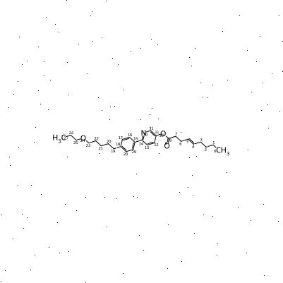 CCCCC=CCCC(=O)Oc1ccc(-c2ccc(CCCCCOCCC)cc2)nc1